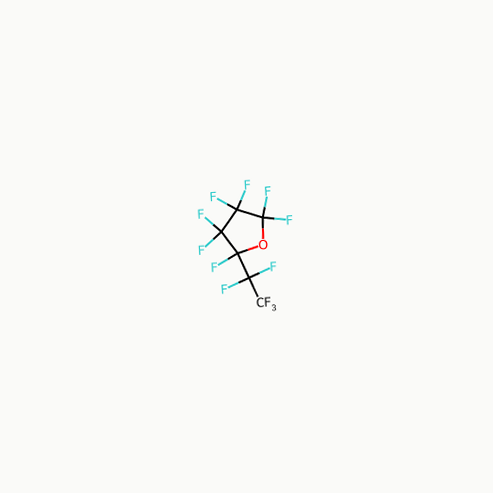 FC(F)(F)C(F)(F)C1(F)OC(F)(F)C(F)(F)C1(F)F